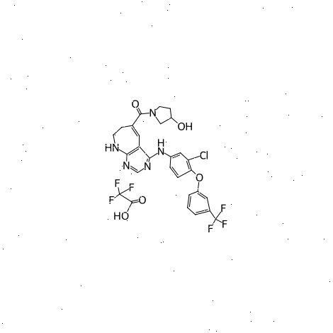 O=C(C1=Cc2c(ncnc2Nc2ccc(Oc3cccc(C(F)(F)F)c3)c(Cl)c2)NCC1)N1CCC(O)C1.O=C(O)C(F)(F)F